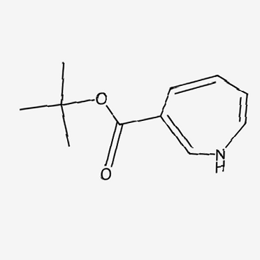 CC(C)(C)OC(=O)C1=CNC=CC=C1